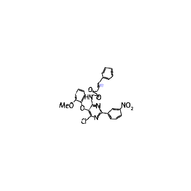 COc1ccccc1Oc1c(Cl)nc(-c2cccc([N+](=O)[O-])c2)nc1NS(=O)(=O)/C=C/c1ccccc1